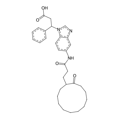 O=C(O)CC(c1ccccc1)n1cnc2cc(NC(=O)CCC3CCCCCCCCCCC3=O)ccc21